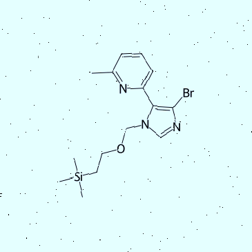 Cc1cccc(-c2c(Br)ncn2COCC[Si](C)(C)C)n1